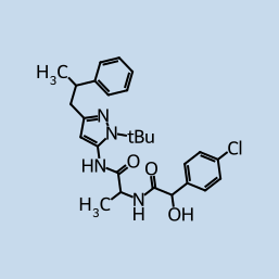 CC(NC(=O)C(O)c1ccc(Cl)cc1)C(=O)Nc1cc(CC(C)c2ccccc2)nn1C(C)(C)C